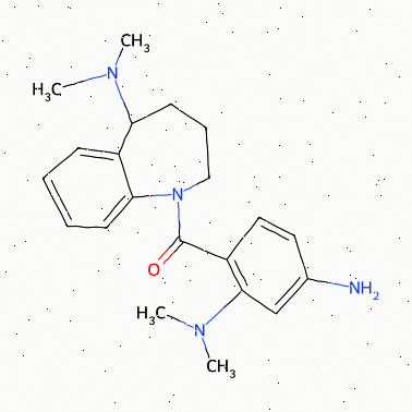 CN(C)c1cc(N)ccc1C(=O)N1CCCC(N(C)C)c2ccccc21